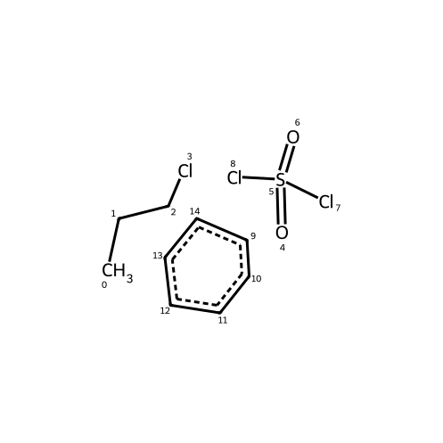 CCCCl.O=S(=O)(Cl)Cl.c1ccccc1